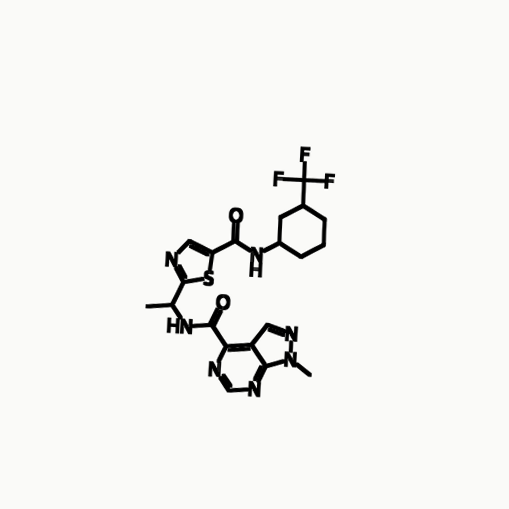 CC(NC(=O)c1ncnc2c1cnn2C)c1ncc(C(=O)NC2CCCC(C(F)(F)F)C2)s1